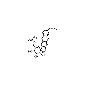 CCc1ccc(Cc2cc3c(cc2Cl)CO[C@]32O[C@H](COC(C)=O)[C@@H](O)[C@H](O)[C@H]2O)cc1